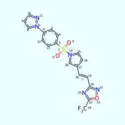 O=S(=O)(c1ccc(-n2cccn2)cc1)n1ccc(/C=C/c2noc(C(F)(F)F)n2)c1